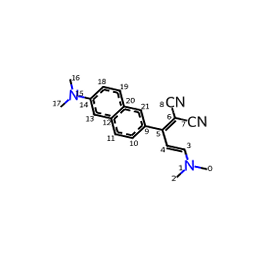 CN(C)C=CC(=C(C#N)C#N)c1ccc2cc(N(C)C)ccc2c1